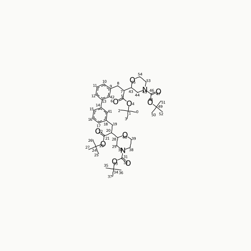 CC(C)(C)OC(=O)C(Cc1cccc(-c2cccc(CC(C(=O)OC(C)(C)C)C3CN(C(=O)OC(C)(C)C)CCO3)c2)c1)C1CN(C(=O)OC(C)(C)C)CCO1